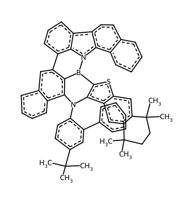 CC(C)(C)c1ccc(N2c3c4c(cc5ccccc35)-c3cccc5c6ccc7ccccc7c6n(c35)B4c3sc4cc5c(cc4c32)C(C)(C)CCC5(C)C)c(-c2ccccc2)c1